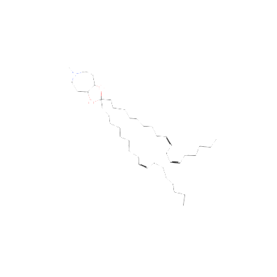 CCCCC/C=C\C/C=C\CCCCCCCCC1(CCCCCCCC/C=C\CCCCCCC)OC2CCN(C)CCC2O1